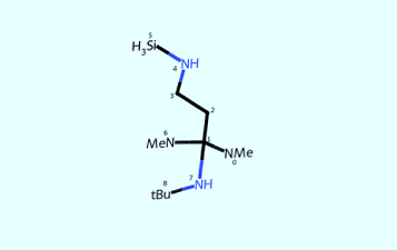 CNC(CCN[SiH3])(NC)NC(C)(C)C